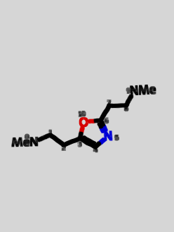 CNCCc1cnc(CCNC)o1